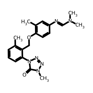 Cc1cc(/N=C/N(C)C)ccc1OCc1c(C)cccc1-n1nnn(C)c1=O